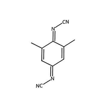 CC1=CC(=NC#N)C=C(C)C1=NC#N